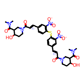 CN(C)C(=O)C1CN(C(=O)/C=C/c2ccc(Sc3ccc(/C=C/C(=O)N4CCC(O)C(C(=O)N(C)C)C4)cc3[N+](=O)[O-])c([N+](=O)[O-])c2)CCC1O